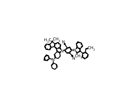 C=Cc1ccccc1-c1c(C)n(-c2cc(C#N)c(-n3c4c(c5c6c(ccc53)C(C)(C)c3ccccc3-6)C=C(N(C3=CCCC=C3)c3ccccc3)CC4)cc2C#N)c2ccccc12